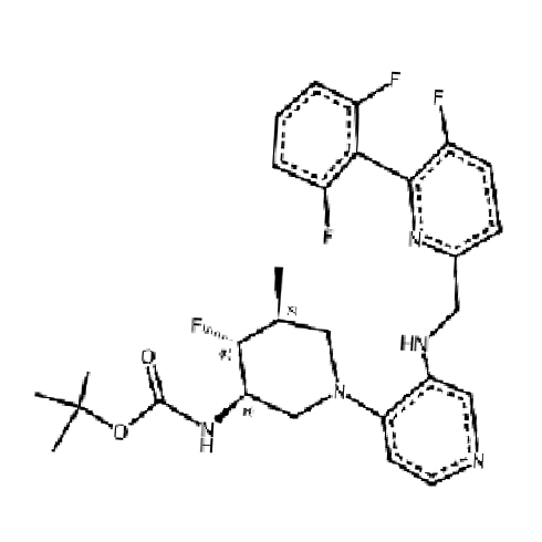 C[C@H]1CN(c2ccncc2NCc2ccc(F)c(-c3c(F)cccc3F)n2)C[C@@H](NC(=O)OC(C)(C)C)[C@@H]1F